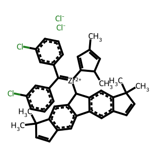 CC1=CC(C)[C]([Zr+2](=[C](c2cccc(Cl)c2)c2cccc(Cl)c2)[CH]2c3cc4c(cc3-c3cc5c(cc32)C(C)(C)C=C5)C=CC4(C)C)=C1.[Cl-].[Cl-]